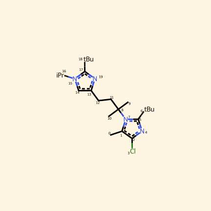 Cc1c(Cl)nc(C(C)(C)C)n1C(C)(C)CCc1cn(C(C)C)c(C(C)(C)C)n1